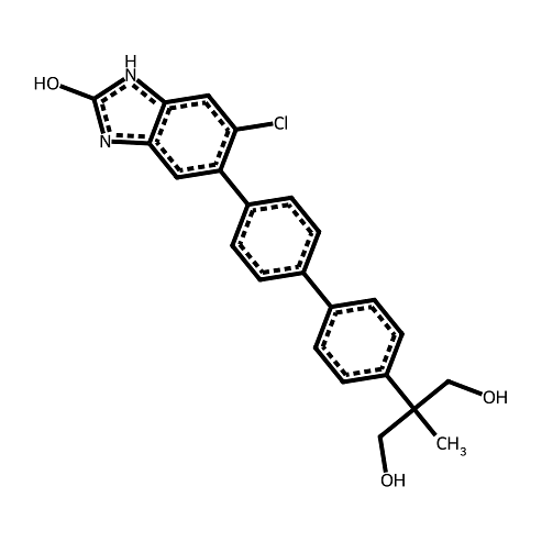 CC(CO)(CO)c1ccc(-c2ccc(-c3cc4nc(O)[nH]c4cc3Cl)cc2)cc1